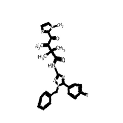 C=C(C(=O)c1nccn1C)C(C)(C)C(=O)Nc1nc(-c2ccc(F)cc2)n(Cc2ccccc2)n1